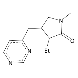 CCC1C(=O)N(C)CC1Cc1ccncn1